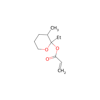 C=CC(=O)OC1(CC)OCCCC1C